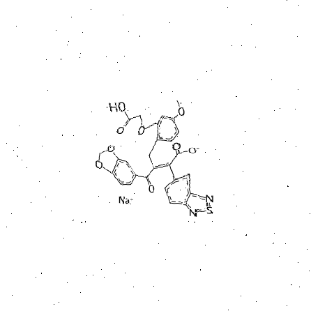 COc1ccc(CC(C(=O)c2ccc3c(c2)OCO3)=C(C(=O)[O-])c2ccc3nsnc3c2)c(OCC(=O)O)c1.[Na+]